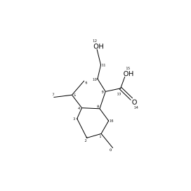 CC1CCC(C(C)C)C(C(CCO)C(=O)O)C1